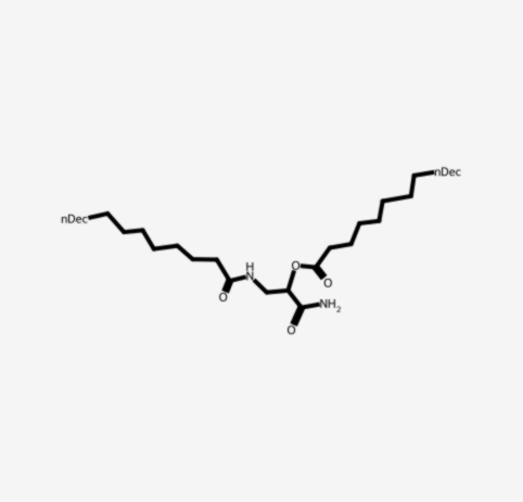 CCCCCCCCCCCCCCCCCC(=O)NCC(OC(=O)CCCCCCCCCCCCCCCCC)C(N)=O